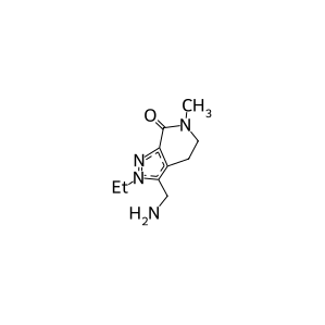 CCn1nc2c(c1CN)CCN(C)C2=O